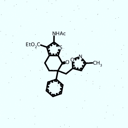 CCOC(=O)c1c(NC(C)=O)sc2c1CCC(Cc1cc(C)no1)(c1ccccc1)C2=O